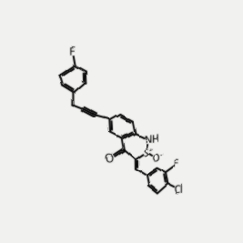 O=C1/C(=C/c2ccc(Cl)c(F)c2)[S+]([O-])Nc2ccc(C#CCc3ccc(F)cc3)cc21